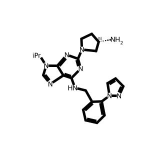 CC(C)n1cnc2c(NCc3ccccc3-n3cccn3)nc(N3CC[C@H](N)C3)nc21